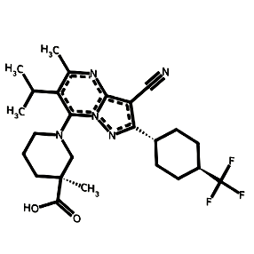 Cc1nc2c(C#N)c([C@H]3CC[C@H](C(F)(F)F)CC3)nn2c(N2CCC[C@](C)(C(=O)O)C2)c1C(C)C